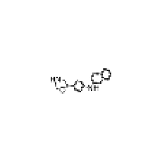 c1ccc2cc(Nc3ccc(C4CNCCO4)cc3)ccc2c1